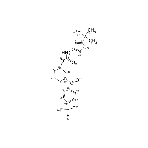 CC(C)(C)c1cc(NC(=O)OC2CCCN(C(=O)c3ccc(C(F)(F)F)cc3)C2)no1